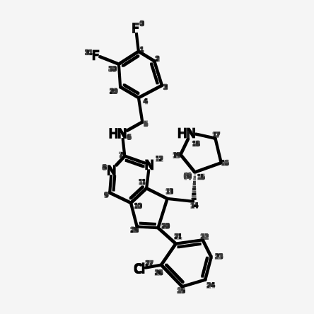 Fc1ccc(CNc2ncc3c(n2)C(C[C@H]2CCNC2)C(c2ccccc2Cl)=C3)cc1F